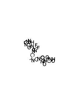 C[C@@H]([C@H]1CC[C@H](n2cc(NC(=O)c3cnn4cccnc34)c(C(F)F)n2)CC1)N(C)C1CCN(c2cccc3c2n(C)c(=O)n3C2CCC(=O)NC2=O)CC1